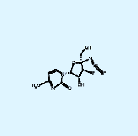 Cc1ccn([C@@H]2O[C@@](CO)(N=[N+]=[N-])[C@@H](F)[C@H]2O)c(=O)n1